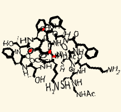 CC(=O)NCN[C@@H](CS)C(=O)NC(CCCCN)C(=O)N[C@@H](CS)C(=O)NC(Cc1ccccc1)C(=O)N[C@@H](Cc1ccccc1)C(=O)NC(Cc1c[nH]c2ccccc12)C(=O)N[C@@H](CCCCN)C(=O)N[C@H](C(=O)N[C@@H](Cc1ccccc1)C(=O)N[C@H](C(=O)N[C@@H](CO)C(=O)C(=O)[C@H](CS)NCNC(C)=O)[C@@H](C)O)[C@@H](C)O